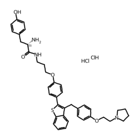 Cl.Cl.N[C@@H](Cc1ccc(O)cc1)C(=O)NCCCOc1ccc(-c2sc3ccccc3c2Cc2ccc(OCCN3CCCC3)cc2)cc1